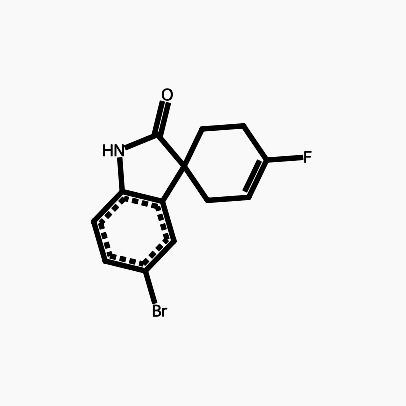 O=C1Nc2ccc(Br)cc2C12CC=C(F)CC2